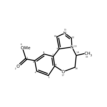 COC(=O)c1ccc2c(c1)-c1cncn1C(C)CO2